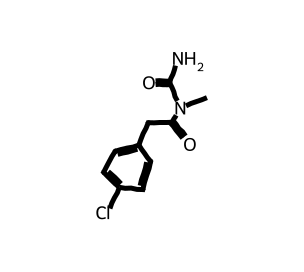 CN(C(N)=O)C(=O)Cc1ccc(Cl)cc1